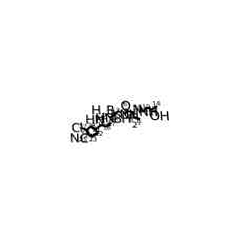 BC(B)(CNC(=O)/C(C=C)=N/NCC(C)O)N/C=C\C(=N)c1ccc(C#N)c(Cl)c1